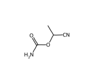 CC(C#N)OC(N)=O